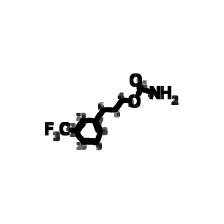 NC(=O)OCCCc1cccc(C(F)(F)F)c1